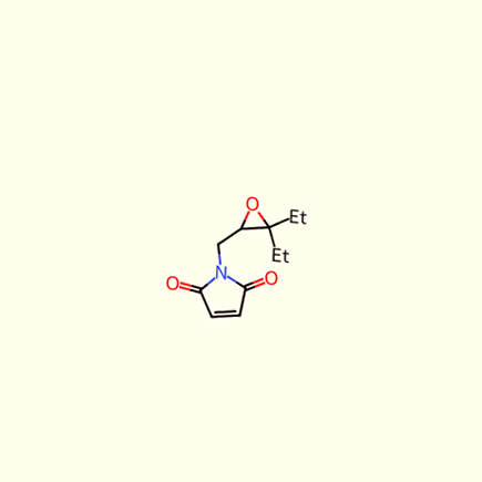 CCC1(CC)OC1CN1C(=O)C=CC1=O